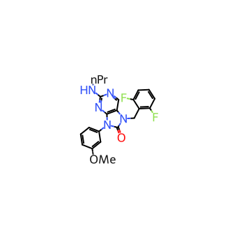 CCCNc1ncc2c(n1)n(-c1cccc(OC)c1)c(=O)n2Cc1c(F)cccc1F